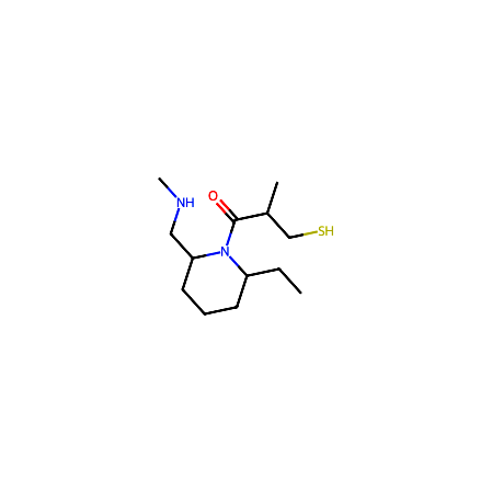 CCC1CCCC(CNC)N1C(=O)C(C)CS